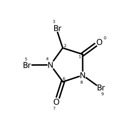 O=C1C(Br)N(Br)C(=O)N1Br